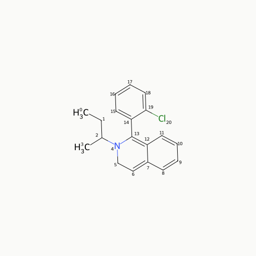 CCC(C)N1CC=c2ccccc2=C1c1ccccc1Cl